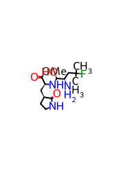 COC(=O)[C@H](C[C@@H]1CCNC1=O)NC(O)[C@@H](N)CC(C)(C)F